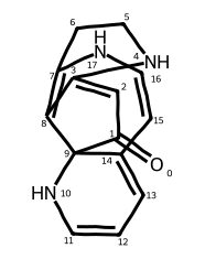 O=C1C=C2NCCC3=C2C12NC=CC=C2C=CN3